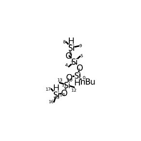 CCCC[SiH](O[Si](C)(C)O[SiH](C)C)O[Si](C)(C)O[SiH](C)C